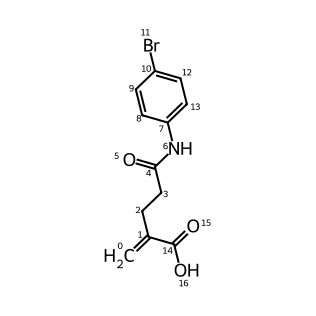 C=C(CCC(=O)Nc1ccc(Br)cc1)C(=O)O